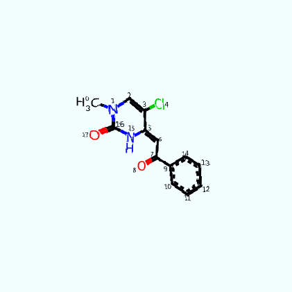 CN1C=C(Cl)C(=CC(=O)c2ccccc2)NC1=O